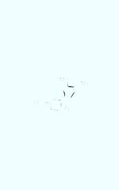 COc1ccc([C@@H]2CN(C)CC[C@@H]2N)cc1OC